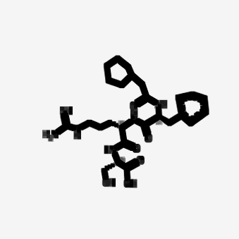 N=C(N)NCCC[C@H](NC(=O)[C@H](Cc1ccccc1)NC(=O)CC1CCCCC1)C(=O)N[C@@H](CO)C(=O)O